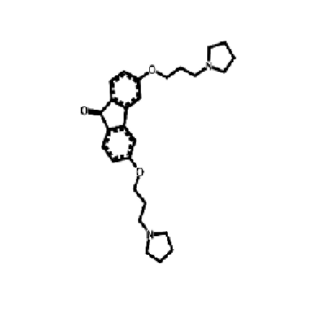 O=C1c2ccc(OCCCN3CCCC3)cc2-c2cc(OCCCN3CCCC3)ccc21